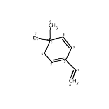 C=CC1=CCC(C)(CC)C=C1